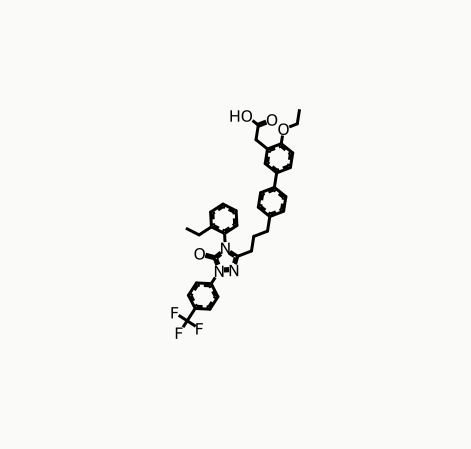 CCOc1ccc(-c2ccc(CCCc3nn(-c4ccc(C(F)(F)F)cc4)c(=O)n3-c3ccccc3CC)cc2)cc1CC(=O)O